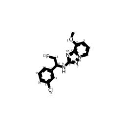 COc1cccn2nc(NC(CF)c3cccc(Cl)c3)nc12